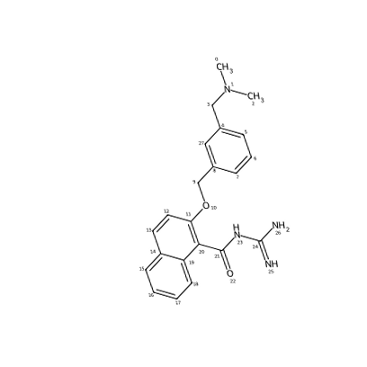 CN(C)Cc1cccc(COc2ccc3ccccc3c2C(=O)NC(=N)N)c1